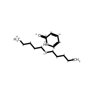 CCCCCSCCCCC.O=c1cccc[nH]1